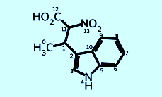 CC(c1c[nH]c2ccccc12)C(C(=O)O)[N+](=O)[O-]